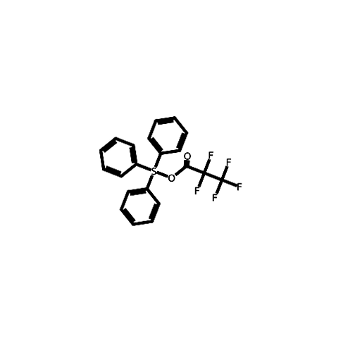 O=C(OS(c1ccccc1)(c1ccccc1)c1ccccc1)C(F)(F)C(F)(F)F